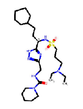 CCN(CC)CCCS(=O)(=O)N[C@H](CCC1CCCCC1)c1nc(CNC(=O)N2CCCCC2)n[nH]1